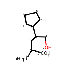 CCCCCCCC(CC(CO)C1CCCC1)C(=O)O